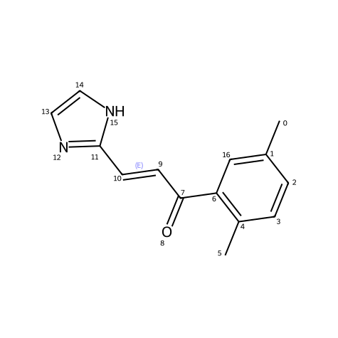 Cc1ccc(C)c(C(=O)/C=C/c2ncc[nH]2)c1